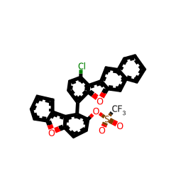 O=S(=O)(Oc1ccc2oc3ccccc3c2c1-c1ccc(Cl)c2c1oc1cc3ccccc3cc12)C(F)(F)F